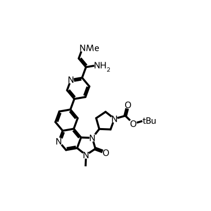 CN/C=C(\N)c1ccc(-c2ccc3ncc4c(c3c2)n(C2CCN(C(=O)OC(C)(C)C)C2)c(=O)n4C)cn1